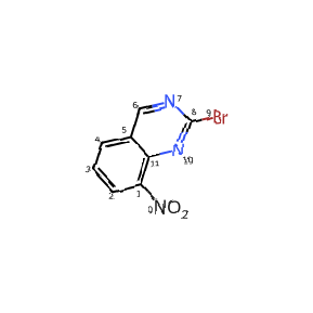 O=[N+]([O-])c1cccc2cnc(Br)nc12